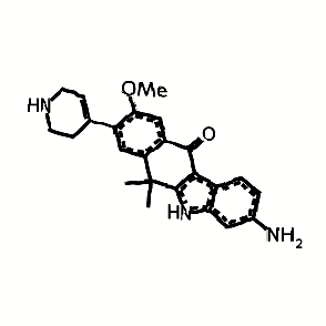 COc1cc2c(cc1C1=CCNCC1)C(C)(C)c1[nH]c3cc(N)ccc3c1C2=O